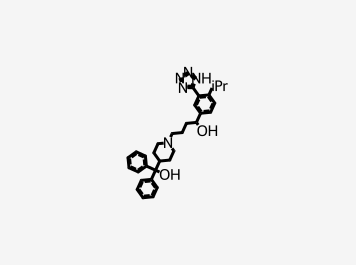 CC(C)c1ccc(C(O)CCCN2CCC(C(O)(c3ccccc3)c3ccccc3)CC2)cc1-c1nnn[nH]1